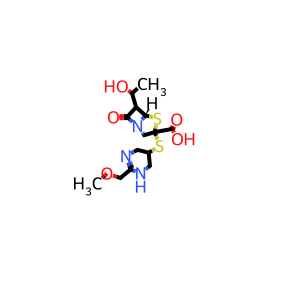 COCC1=NCC(SC2(C(=O)O)CN3C(=O)C(C(C)O)[C@H]3S2)CN1